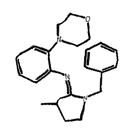 CC1CCN(Cc2ccccc2)C1=Nc1ccccc1N1CCOCC1